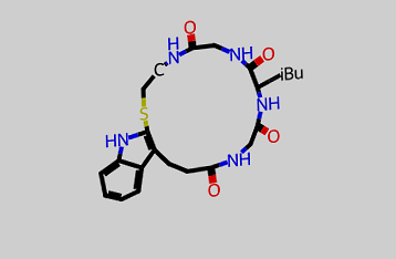 CCC(C)C1NC(=O)CNC(=O)CCc2c([nH]c3ccccc23)SCCNC(=O)CNC1=O